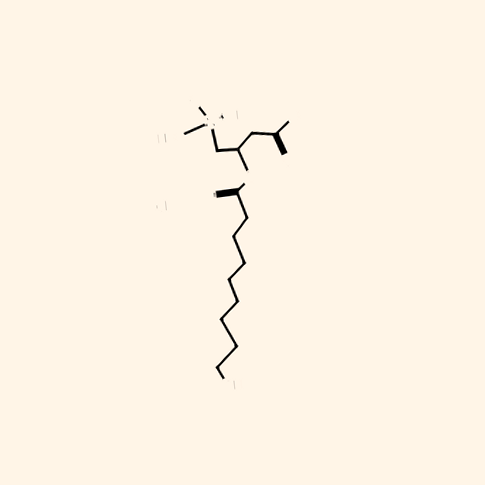 CCCCCCCCCC(=O)OC(CC(=O)O)C[N+](C)(C)C.[Cl-]